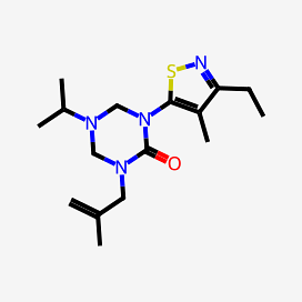 C=C(C)CN1CN(C(C)C)CN(c2snc(CC)c2C)C1=O